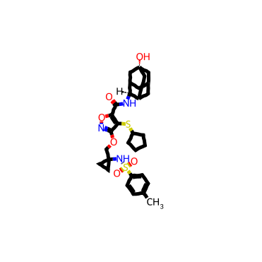 Cc1ccc(S(=O)(=O)NC2(COc3noc(C(=O)N[C@H]4C5CC6CC4C[C@](O)(C6)C5)c3SC3CCCC3)CC2)cc1